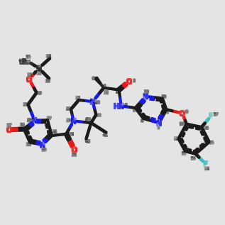 C[C@@H](C(=O)Nc1cnc(Oc2ccc(F)cc2F)cn1)N1CCN(C(=O)c2cn(CCO[Si](C)(C)C(C)(C)C)c(=O)cn2)C(C)(C)C1